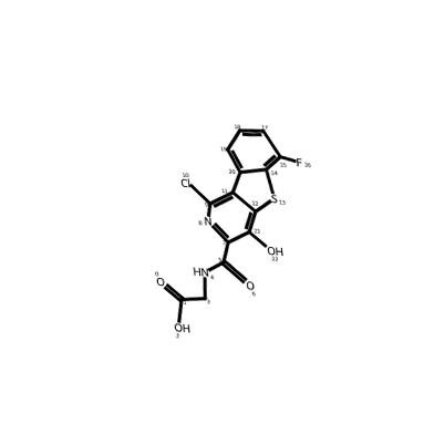 O=C(O)CNC(=O)c1nc(Cl)c2c(sc3c(F)cccc32)c1O